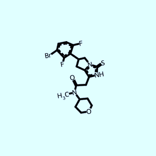 CN(C(=O)Cc1[nH]c(=S)n2c1CC(c1c(F)ccc(Br)c1F)C2)C1CCOCC1